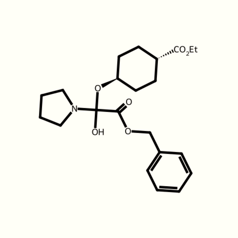 CCOC(=O)[C@H]1CC[C@H](OC(O)(C(=O)OCc2ccccc2)N2CCCC2)CC1